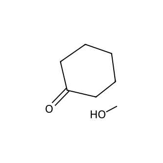 CO.O=C1CCCCC1